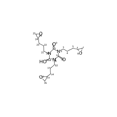 O=C1N(CCCC2CO2)C(=O)N(CCCC2CO2)C(O)N1CCCC1CO1